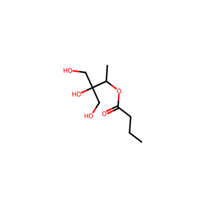 CCCC(=O)OC(C)C(O)(CO)CO